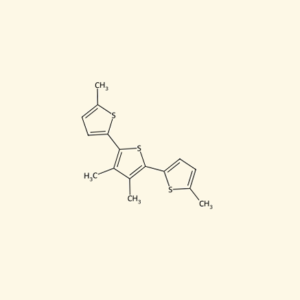 Cc1ccc(-c2sc(-c3ccc(C)s3)c(C)c2C)s1